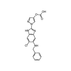 O=C(O)Oc1cnn(-c2nc3cc(NCc4ccccc4)c(Cl)cc3[nH]2)c1